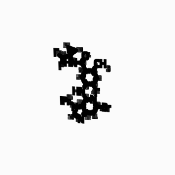 Cc1cc(F)c(Nc2nc(Br)cc3ncn(C(C)C)c23)cc1C(=O)NC1(C(F)F)CC1